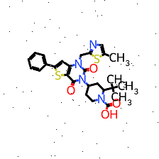 Cc1cnc(Cn2c(=O)n(C3CCN(C(=O)O)C(C(C)(C)C)C3)c(=O)c3sc(-c4ccccc4)cc32)s1